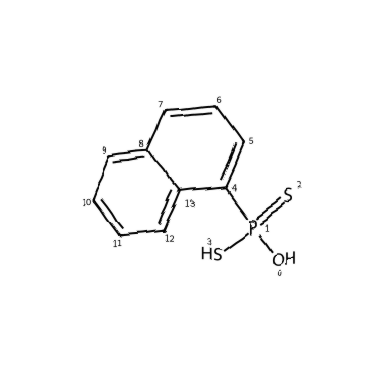 OP(=S)(S)c1cccc2ccccc12